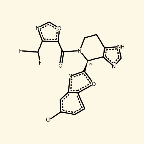 O=C(c1ocnc1C(F)F)N1CCc2[nH]cnc2[C@H]1c1nc2cc(Cl)ccc2o1